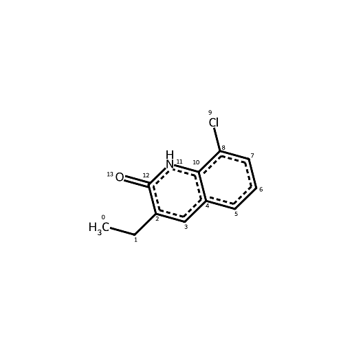 CCc1cc2cccc(Cl)c2[nH]c1=O